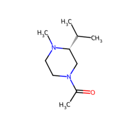 CC(=O)N1CCN(C)[C@H](C(C)C)C1